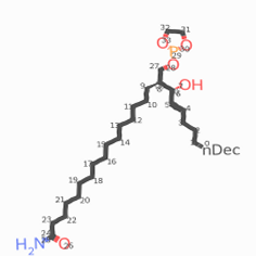 CCCCCCCCCCCCCC=C[C@@H](O)[C@@H](CCCCCCCCCCCCCCCC(N)=O)COP1OCCO1